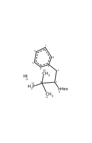 CCCCCCC(Cc1ccccc1)C(C)(C)P.I